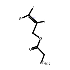 CCCCCCC(=O)OC/C(I)=C(\Br)I